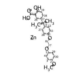 COc1ccc(OCCOc2ccc(C(C)(C)c3ccc(O)c(C(=O)O)c3)cc2)cc1.[Zn]